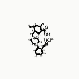 Cc1cc(C)c(C(=O)O)cc1CN1CCN(c2ccccc2C#N)CC1.Cl